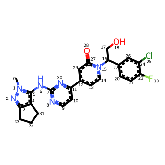 Cn1nc2c(c1Nc1nccc(-c3ccn(C(CO)c4ccc(F)c(Cl)c4)c(=O)c3)n1)CCC2